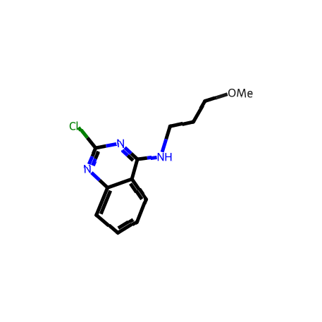 COCCCNc1nc(Cl)nc2ccccc12